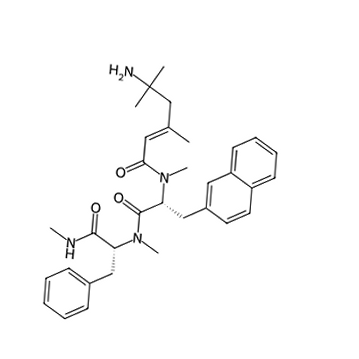 CNC(=O)[C@@H](Cc1ccccc1)N(C)C(=O)[C@@H](Cc1ccc2ccccc2c1)N(C)C(=O)/C=C(\C)CC(C)(C)N